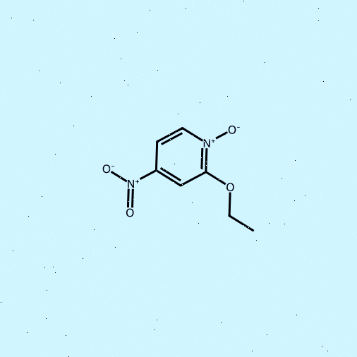 CCOc1cc([N+](=O)[O-])cc[n+]1[O-]